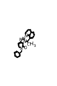 CC(c1cccc2cccnc12)n1nnc2ccn(Cc3ccccc3)c(=O)c21